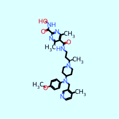 COc1ccc(N(Cc2cnccc2C)C2CCN([C@H](C)CCNC(=O)c3c(C)nc(C(=O)NO)nc3C)CC2)cc1